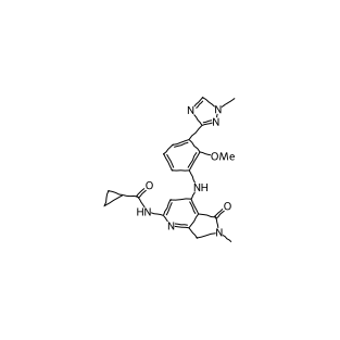 COc1c(Nc2cc(NC(=O)C3CC3)nc3c2C(=O)N(C)C3)cccc1-c1ncn(C)n1